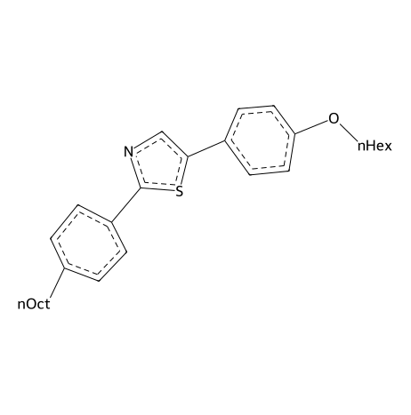 CCCCCCCCc1ccc(-c2ncc(-c3ccc(OCCCCCC)cc3)s2)cc1